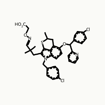 CC1Cc2c(OC(c3ccc(Cl)cc3)c3ccccn3)ccc3c2c(c(CC(C)(C)C=NOCC(=O)O)n3Cc2ccc(Cl)cc2)S1